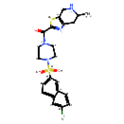 CC1Cc2nc(C(=O)N3CCN(S(=O)(=O)c4ccc5cc(Cl)ccc5c4)CC3)sc2CN1